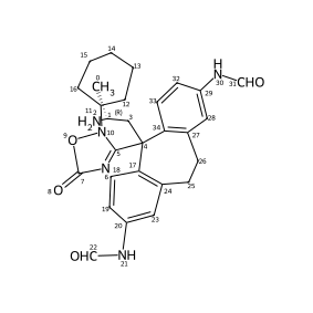 C[C@@H](N)CC1(c2nc(=O)on2C2CCCCC2)c2ccc(NC=O)cc2CCc2cc(NC=O)ccc21